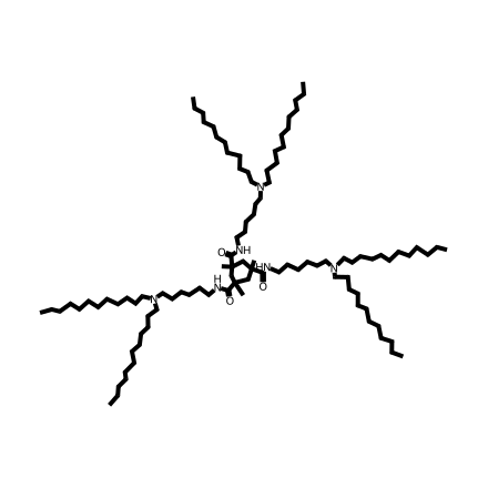 CCCCCCCCCCCCN(CCCCCCCCCCCC)CCCCCCNC(=O)C1(C)CC(C)(C(=O)NCCCCCCN(CCCCCCCCCCCC)CCCCCCCCCCCC)CC(C)(C(=O)NCCCCCCN(CCCCCCCCCCCC)CCCCCCCCCCCC)C1